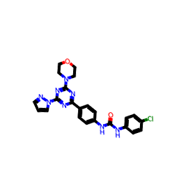 O=C(Nc1ccc(Cl)cc1)Nc1ccc(-c2nc(N3CCOCC3)nc(-n3cccn3)n2)cc1